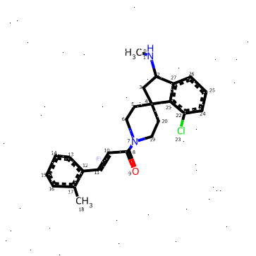 CNC1CC2(CCN(C(=O)/C=C/c3ccccc3C)CC2)c2c(Cl)cccc21